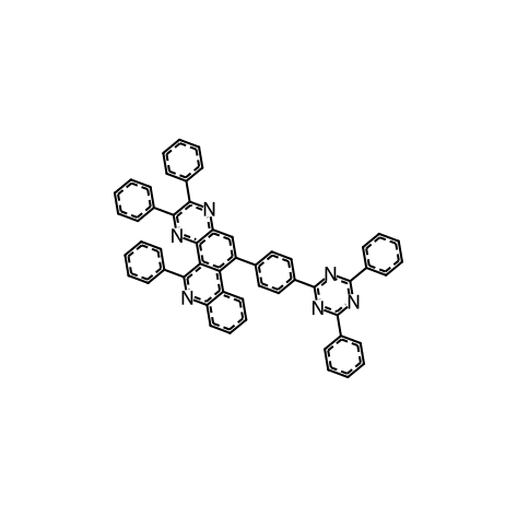 c1ccc(-c2nc(-c3ccccc3)nc(-c3ccc(-c4cc5nc(-c6ccccc6)c(-c6ccccc6)nc5c5c(-c6ccccc6)nc6ccccc6c45)cc3)n2)cc1